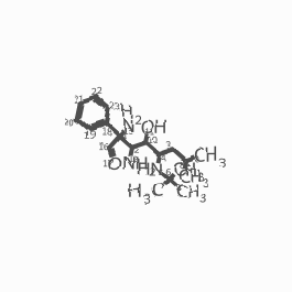 CC(C)CC(NC(C)(C)C)C(O)C(N)C(N)(C=O)c1ccccc1